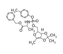 CC1=C2OC(C)(C)O[C@@H]2C(COP(=O)(NC(C)C(=O)OCc2ccccc2)Oc2ccc(C)cc2)O1